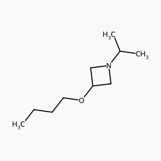 CCCCOC1CN(C(C)C)C1